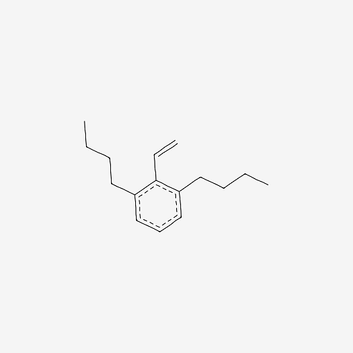 C=Cc1c(CCCC)cccc1CCCC